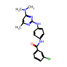 Cc1cc(N(C)C)nc(Nc2ccc(NC(=O)c3cccc(Br)c3)cc2)n1